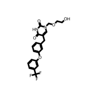 O=c1[nH]c(=O)n(COCCO)cc1Cc1cccc(Oc2cccc(C(F)(F)F)c2)c1